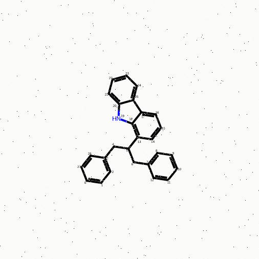 c1ccc(CC(Cc2ccccc2)c2cccc3c2[nH]c2ccccc23)cc1